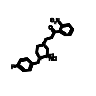 Cl.Cl.O=C(CCN1CCN(Cc2ccc(F)cc2)CC1)c1ccccc1[N+](=O)[O-]